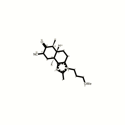 COCCCn1c(C)nc2c1CC[C@H]1[C@H](C)C(=O)C(C#N)C[C@]21C